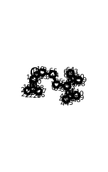 c1cc(-c2cccc(-c3ccc4oc5ccc(-n6c7ccccc7c7ccccc76)cc5c4c3)c2)cc(-c2cc(-n3c4ccccc4c4ccccc43)cc(-n3c4ccccc4c4ccccc43)c2)c1